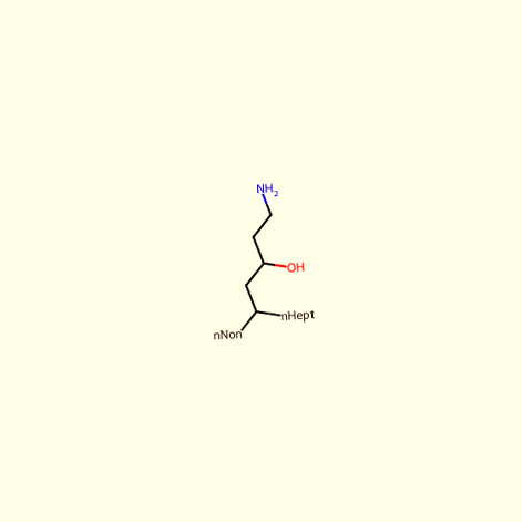 CCCCCCCCCC(CCCCCCC)CC(O)CCN